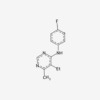 CCc1c(C)ncnc1Nc1ccc(F)cc1